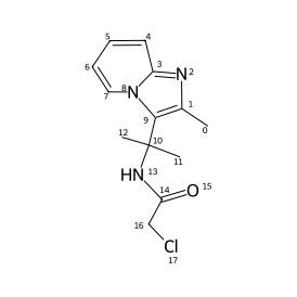 Cc1nc2ccccn2c1C(C)(C)NC(=O)CCl